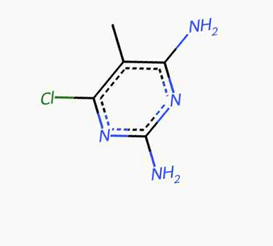 Cc1c(N)nc(N)nc1Cl